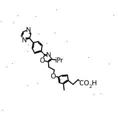 Cc1cc(OCCc2oc(-c3ccc(-c4cnccn4)cc3)nc2C(C)C)ccc1CCC(=O)O